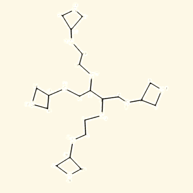 C(CSC(CSC1CSC1)C(CSC1CSC1)SCCSC1CSC1)SC1CSC1